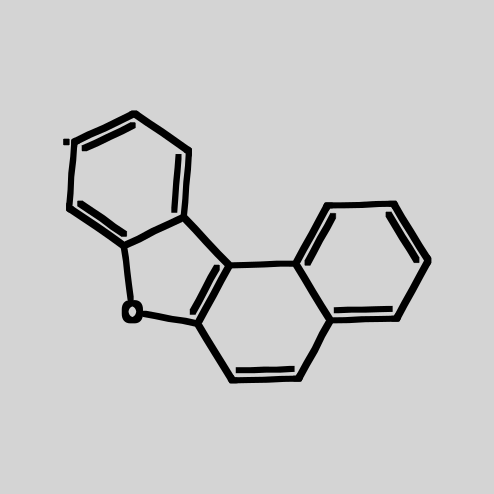 [c]1ccc2c(c1)oc1ccc3ccccc3c12